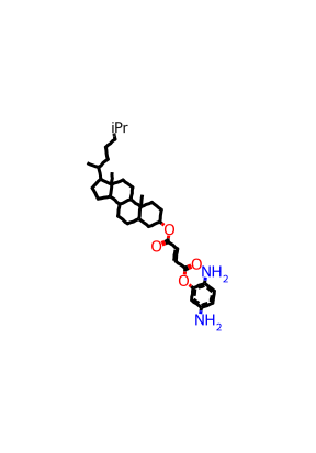 CC(C)CCCC(C)C1CCC2C3CCC4CC(OC(=O)/C=C/C(=O)Oc5cc(N)ccc5N)CCC4(C)C3CCC12C